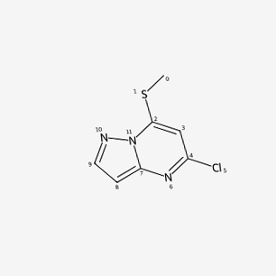 CSc1cc(Cl)nc2ccnn12